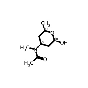 CC(=O)N(C)[C@H]1C[C@@H](C)O[C@@H](O)C1